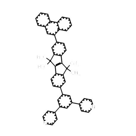 CC1(C)C2=C(c3ccc(-c4cc(-c5ccncc5)cc(-c5ccncc5)c4)cc31)C(C)(C)c1cc(-c3cc4ccccc4c4ccccc34)ccc12